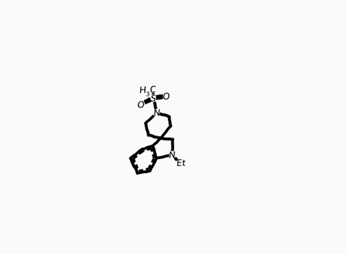 CCN1CC2(CCN(S(C)(=O)=O)CC2)c2ccccc21